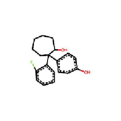 Oc1ccc(C2(c3ccccc3F)CCCCCC2O)cc1